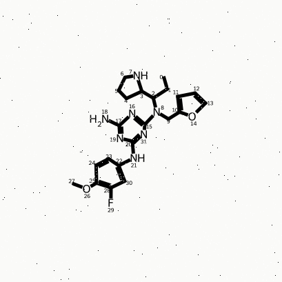 CCC(C1CCCN1)N(Cc1ccco1)c1nc(N)nc(Nc2ccc(OC)c(F)c2)n1